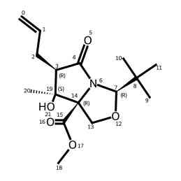 C=CC[C@H]1C(=O)N2[C@@H](C(C)(C)C)OC[C@]2(C(=O)OC)[C@@]1(C)O